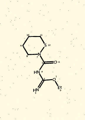 CCOC(=N)NC(=O)N1CCCCS1